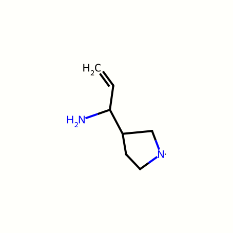 C=CC(N)C1CC[N]C1